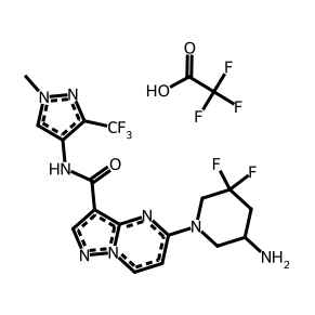 Cn1cc(NC(=O)c2cnn3ccc(N4CC(N)CC(F)(F)C4)nc23)c(C(F)(F)F)n1.O=C(O)C(F)(F)F